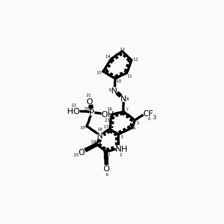 O=c1[nH]c2cc(C(F)(F)F)c(/N=N/c3ccccc3)cc2n(CP(=O)(O)O)c1=O